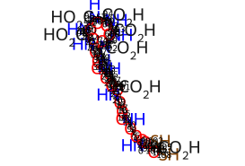 C[C@H](NC(=O)COCCOCCNC(=O)COCCOCCNC(=O)COCCOCCNC(=O)COCCOCCNC(=O)CC[C@H](NC(=O)CC[C@H](NC(=O)CC[C@H](NC(=O)CC[C@H](NC(=O)CC[C@H](NC(=O)CCCCCCCCCCCCCCCCC(=O)O)C(=O)O)C(=O)O)C(=O)O)C(=O)O)C(=O)O)C(=O)C[C@@H](CS)C(=O)C[C@@H](CS)C(=O)O